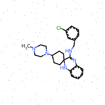 CN1CCN(C2CCC3(CC2)Nc2ccccc2N=C3NCc2cccc(Cl)c2)CC1